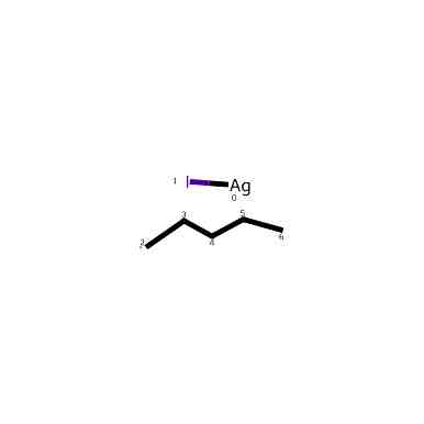 [Ag][I].[CH2]CCCC